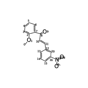 COc1ccccc1C(=O)/C=C/c1cccc([N+](=O)[O-])c1